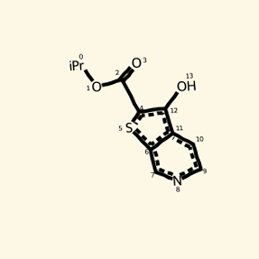 CC(C)OC(=O)c1sc2cnccc2c1O